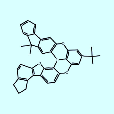 CC(C)(C)c1cc2c3c(c1)Oc1ccc4c(oc5ccc6c(c54)CCC6)c1B3c1cc3c(cc1O2)-c1ccccc1C3(C)C